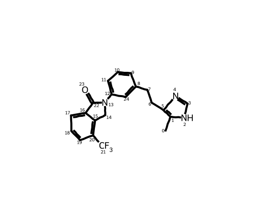 Cc1[nH]cnc1CCc1cccc(N2Cc3c(cccc3C(F)(F)F)C2=O)c1